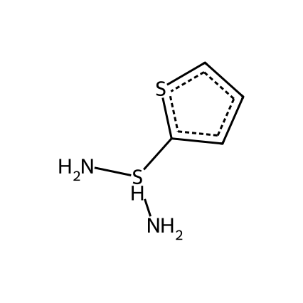 N[SH](N)c1cccs1